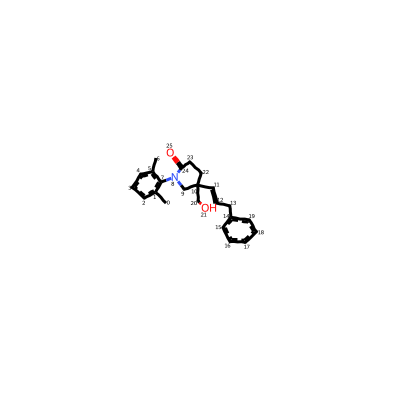 Cc1cccc(C)c1N1CC(C=CCc2ccccc2)(CO)CCC1=O